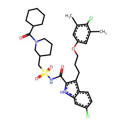 Cc1cc(OCCCc2c(C(=O)NS(=O)(=O)CC3CCCN(C(=O)C4CCCCC4)C3)[nH]c3cc(Cl)ccc23)cc(C)c1Cl